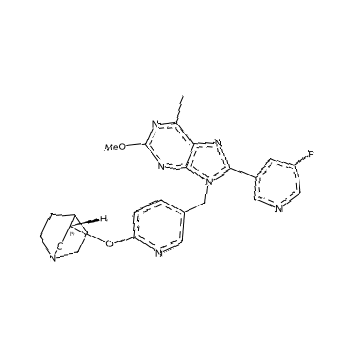 COc1nc(C)c2nc(-c3cncc(F)c3)n(Cc3ccc(O[C@@H]4CN5CCC4CC5)nc3)c2n1